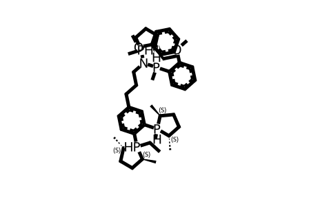 CC[C@@H]1CCC[PH]1(C)N(CCCc1ccc([PH]2(CC)[C@@H](C)CC[C@@H]2C)c([PH]2(C)[C@@H](C)CC[C@@H]2C)c1)[PH](C)(c1ccccc1OC)c1ccccc1OC